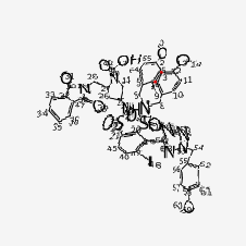 COc1ccc(CN(Cc2ccc(OC)cc2)S(=O)(=O)c2c([S+]([O-])N[C@@H]3C[C@@H](CN4C(=O)c5ccccc5C4=O)N(C(=O)O)C3)ccc(I)c2-c2nnn(Cc3ccc(OC)cc3)n2)cc1